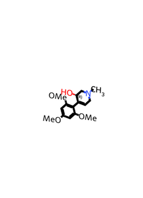 COc1cc(OC)c(C2=CCN(C)C[C@@H]2O)c(OC)c1